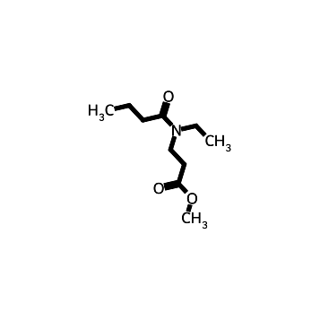 CCCC(=O)N(CC)CCC(=O)OC